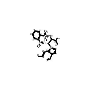 C=Cc1ccn(CC(NS(=O)(=O)c2ccccc2[N+](=O)[O-])C(C)C)c1C=CC